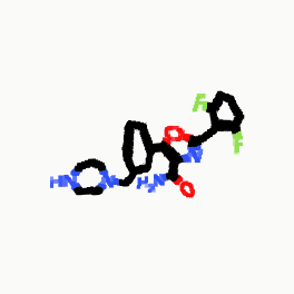 NC(=O)c1nc(-c2c(F)cccc2F)oc1-c1cccc(CN2CCNCC2)c1